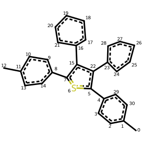 Cc1ccc(-c2sc(-c3ccc(C)cc3)c(-c3ccccc3)c2-c2ccccc2)cc1